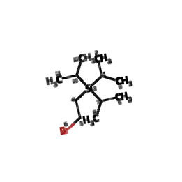 CC(C)[Si](CCBr)(C(C)C)C(C)C